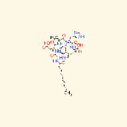 CCCCCCCCCC(=O)NCC(=O)N[C@@H](CC(=O)O)C(=O)N[C@@H](C)C(=O)N[C@@H](Cc1c[nH]cn1)C(=O)N[C@@H](Cc1c[nH]c2ccccc12)C(=O)O